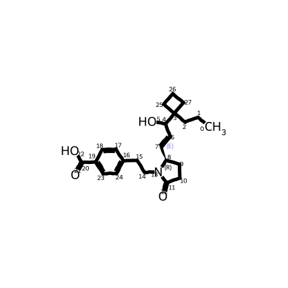 CCCC1(C(O)/C=C/[C@H]2CCC(=O)N2CCc2ccc(C(=O)O)cc2)CCC1